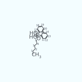 CCCCCCOP(O)(O)(c1ccccc1)c1ccccc1